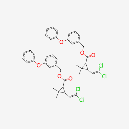 CC1(C)C(C=C(Cl)Cl)C1C(=O)OCc1cccc(Oc2ccccc2)c1.CC1(C)C(C=C(Cl)Cl)C1C(=O)OCc1cccc(Oc2ccccc2)c1